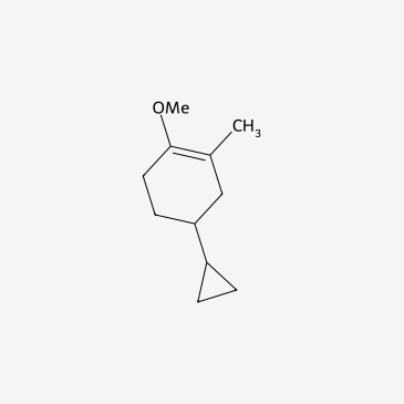 COC1=C(C)CC(C2CC2)CC1